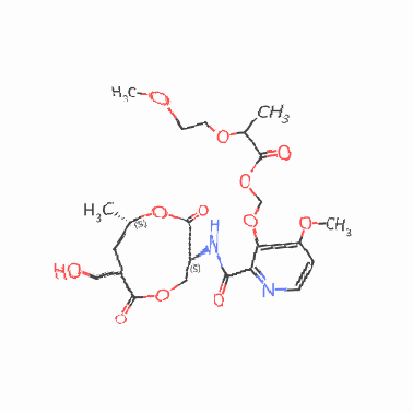 COCCOC(C)C(=O)OCOc1c(OC)ccnc1C(=O)N[C@H]1COC(=O)C(CO)C[C@H](C)OC1=O